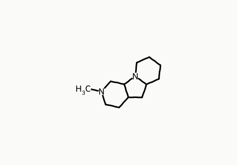 CN1CCC2CC3CCCCN3C2C1